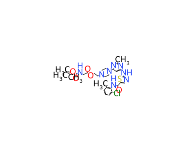 Cc1nc(Nc2ncc(C(=O)Nc3c(C)cccc3Cl)s2)cc(N2CCN(CCOC(=O)CNC(=O)OC(C)(C)C)CC2)n1